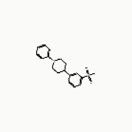 CS(=O)(=O)c1cccc(C2CCN(c3ccccc3)CC2)c1